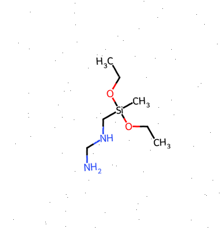 CCO[Si](C)(CNCN)OCC